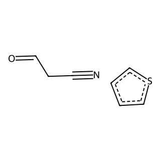 N#CCC=O.c1ccsc1